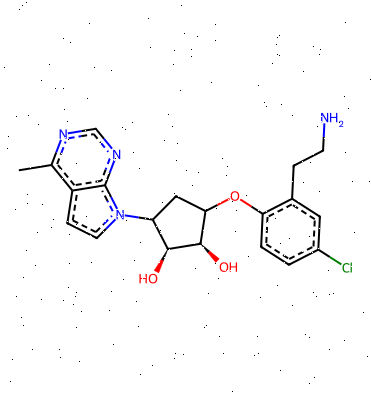 Cc1ncnc2c1ccn2C1CC(Oc2ccc(Cl)cc2CCN)[C@@H](O)[C@H]1O